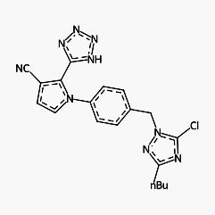 CCCCc1nc(Cl)n(Cc2ccc(-n3ccc(C#N)c3-c3nnn[nH]3)cc2)n1